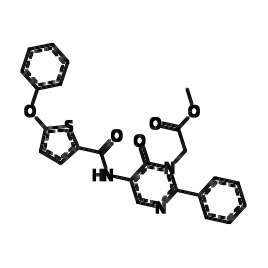 COC(=O)Cn1c(-c2ccccc2)ncc(NC(=O)c2ccc(Oc3ccccc3)s2)c1=O